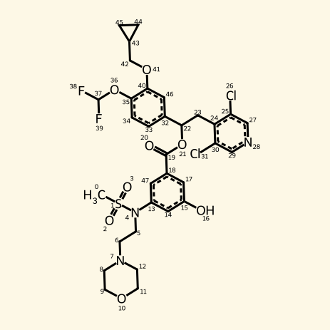 CS(=O)(=O)N(CCN1CCOCC1)c1cc(O)cc(C(=O)OC(Cc2c(Cl)cncc2Cl)c2ccc(OC(F)F)c(OCC3CC3)c2)c1